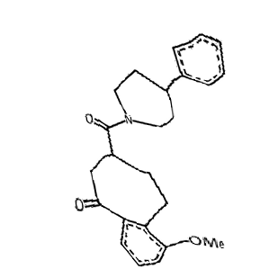 COc1cccc2c1CCC(C(=O)N1CCC(c3ccccc3)CC1)CC2=O